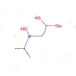 CC(C)N(O)CC(O)O